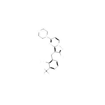 Cc1nn2ccc(N3CCOCC3)nc2c1Cc1cccc(C(F)(F)F)c1C